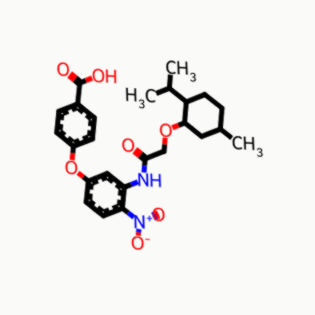 CC1CCC(C(C)C)C(OCC(=O)Nc2cc(Oc3ccc(C(=O)O)cc3)ccc2[N+](=O)[O-])C1